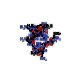 CSCC[C@H](N)C(=O)N[C@@H](CO)C(=O)NCC(=O)N[C@@H](CCCNC(=N)N)C(=O)NCC(=O)N[C@@H](CCCCN)C(=O)N[C@H](C(=O)NCC(=O)NCC(=O)N[C@@H](CCCCN)C(=O)N[C@@H](C)C(=O)N[C@@H](CCCNC(=N)N)C(=O)N[C@@H](C)C(=O)N[C@@H](CCCCN)C(=O)N[C@@H](C)C(=O)N[C@@H](CCCCN)C(=O)N[C@@H](CO)C(=O)N[C@@H](CCCNC(=N)N)C(=O)N[C@@H](CO)C(=O)N[C@@H](CO)C(=O)O)[C@@H](C)O